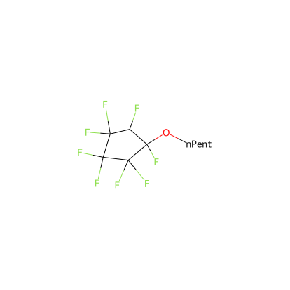 CCCCCOC1(F)C(F)C(F)(F)C(F)(F)C1(F)F